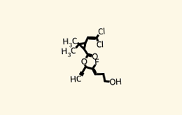 C#CC(OC(=O)C1C(C=C(Cl)Cl)C1(C)C)C(F)=CCCO